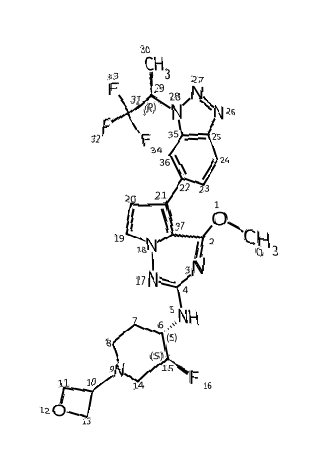 COc1nc(N[C@H]2CCN(C3COC3)C[C@@H]2F)nn2ccc(-c3ccc4nnn([C@H](C)C(F)(F)F)c4c3)c12